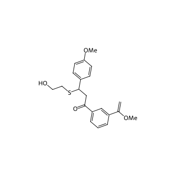 C=C(OC)c1cccc(C(=O)CC(SCCO)c2ccc(OC)cc2)c1